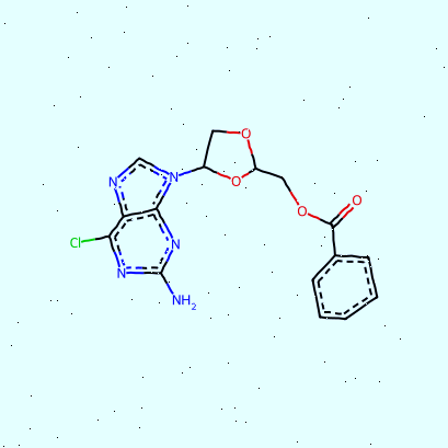 Nc1nc(Cl)c2ncn(C3COC(COC(=O)c4ccccc4)O3)c2n1